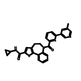 Cc1cncc(-c2cccc(C(=O)N3CCc4cc(C(=O)NC5CC5)sc4-c4ccccc43)n2)c1